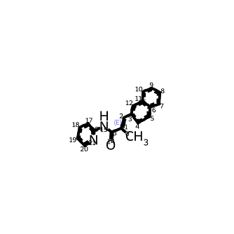 C/C(=C\c1ccc2ccccc2c1)C(=O)Nc1ccccn1